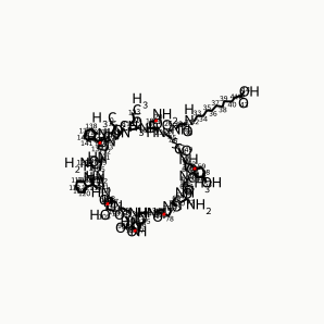 CCCC[C@H]1C(=O)N(C)[C@@H](CCCC)C(=O)N[C@@H](CCN)C(=O)N[C@H](C(=O)NCC(=O)NCCCCCCCCCCC(=O)O)CSCC(=O)N[C@@H](Cc2ccc(O)cc2)C(=O)N(C)[C@@H](C)C(=O)N[C@@H](CC(N)=O)C(=O)N2CCC[C@H]2C(=O)N[C@@H](Cc2cnc[nH]2)C(=O)N[C@H](CCC(=O)O)C(=O)N2C[C@H](O)C[C@H]2C(=O)N[C@@H](Cc2c[nH]c3ccccc23)C(=O)N[C@@H](CCN)C(=O)N[C@@H](Cc2c[nH]c3ccccc23)C(=O)N1C